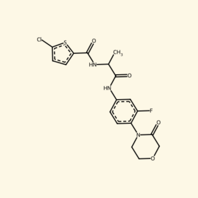 CC(NC(=O)c1ccc(Cl)s1)C(=O)Nc1ccc(N2CCOCC2=O)c(F)c1